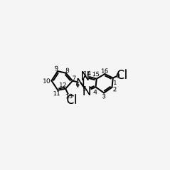 Clc1ccc2nn(-c3ccccc3Cl)nc2c1